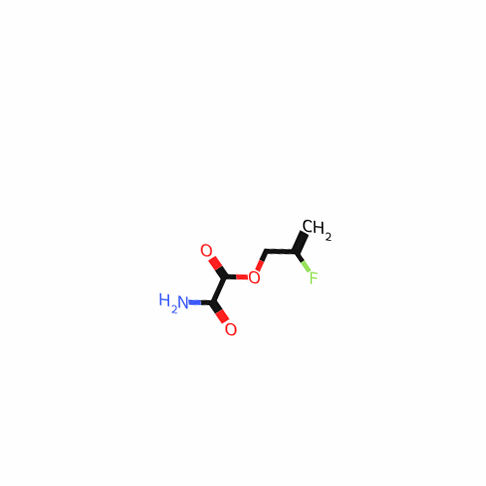 C=C(F)COC(=O)C(N)=O